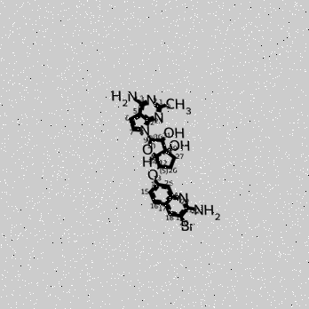 Cc1nc(N)c2ccn([C@@H]3O[C@@H]4[C@@H](Oc5ccc6cc(Br)c(N)nc6c5)CC[C@]4(O)C3O)c2n1